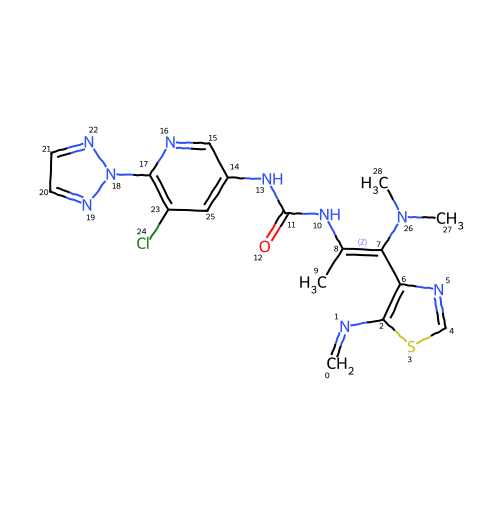 C=Nc1scnc1/C(=C(\C)NC(=O)Nc1cnc(-n2nccn2)c(Cl)c1)N(C)C